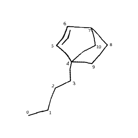 CCCCC12C=CC(CC1)C2